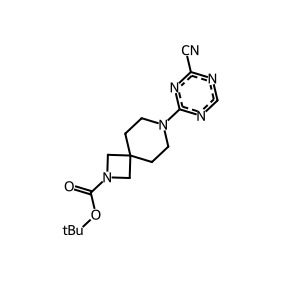 CC(C)(C)OC(=O)N1CC2(CCN(c3ncnc(C#N)n3)CC2)C1